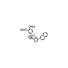 COc1ccc(S(=O)(=O)Nc2nc(-c3ccc4ccccc4c3)cs2)cc1OC